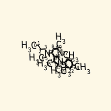 CCCCN(CC)c1cc(C)nc2c1c(C)c(C)n2-c1c(C)cc(C)cc1C